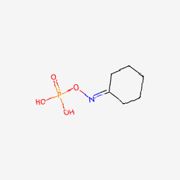 O=P(O)(O)ON=C1CCCCC1